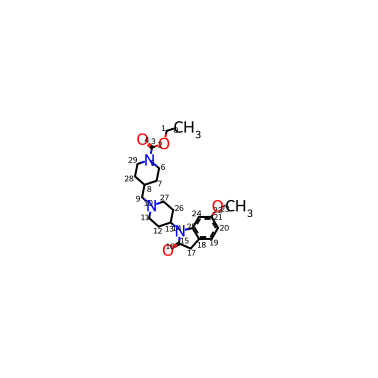 CCOC(=O)N1CCC(CN2CCC(N3C(=O)Cc4ccc(OC)cc43)CC2)CC1